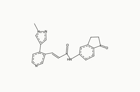 Cn1cc(-c2ccncc2C=CC(=O)Nc2ccc3c(c2)CCC3=O)cn1